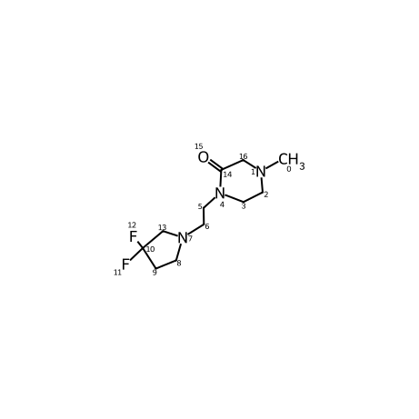 CN1CCN(CCN2CCC(F)(F)C2)C(=O)C1